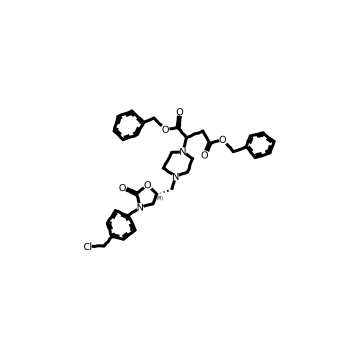 O=C(CC(C(=O)OCc1ccccc1)N1CCN(C[C@@H]2CN(c3ccc(CCl)cc3)C(=O)O2)CC1)OCc1ccccc1